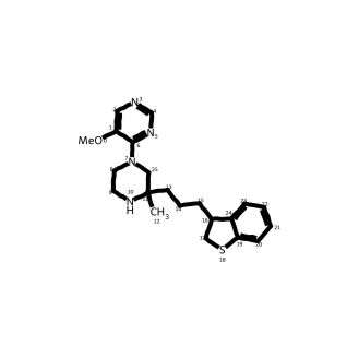 COc1cncnc1N1CCNC(C)(CCCC2CSc3ccccc32)C1